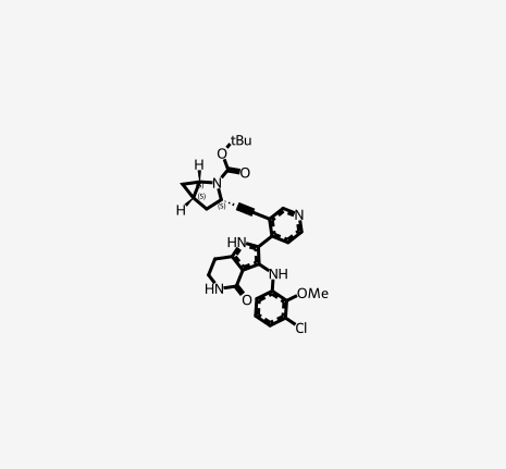 COc1c(Cl)cccc1Nc1c(-c2ccncc2C#C[C@@H]2C[C@@H]3C[C@@H]3N2C(=O)OC(C)(C)C)[nH]c2c1C(=O)NCC2